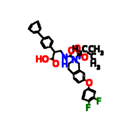 CC(C)(C)OC(=O)[N+]1(C(=O)NCC(C(=O)O)c2ccc(-c3ccccc3)cc2)CCc2ccc(Oc3ccc(F)c(F)c3)cc2C1